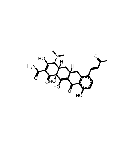 CC(=O)/C=C/c1ccc(O)c2c1C[C@H]1C[C@H]3[C@H](N(C)C)C(O)=C(C(N)=O)C(=O)[C@@]3(O)C(O)=C1C2=O